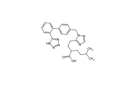 CC(C)CCC(CCc1ncnn1Cc1ccc(-c2ccccc2-c2nnn[nH]2)cc1)C(=O)O